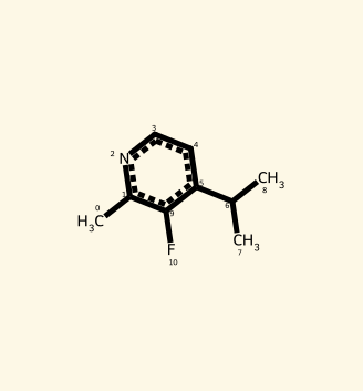 Cc1nccc(C(C)C)c1F